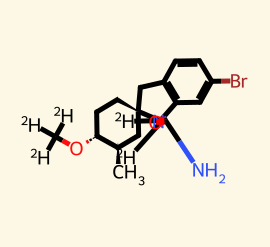 [2H]C([2H])([2H])O[C@@H]1CC[C@]2(Cc3ccc(Br)cc3[C@]23N=C(N)OC3([2H])[2H])C[C@H]1C